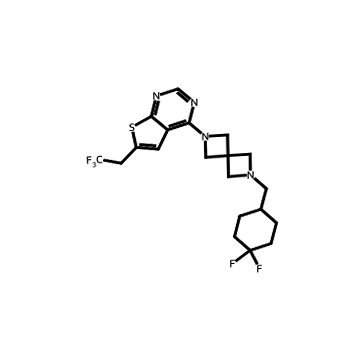 FC(F)(F)Cc1cc2c(N3CC4(CN(CC5CCC(F)(F)CC5)C4)C3)ncnc2s1